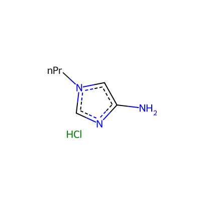 CCCn1cnc(N)c1.Cl